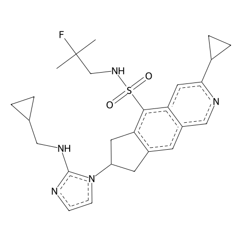 CC(C)(F)CNS(=O)(=O)c1c2c(cc3cnc(C4CC4)cc13)CC(n1ccnc1NCC1CC1)C2